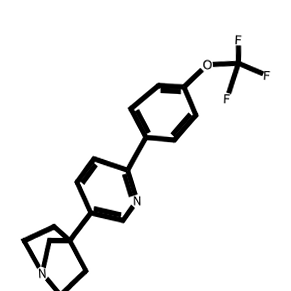 FC(F)(F)Oc1ccc(-c2ccc(C34CCN(CC3)C4)cn2)cc1